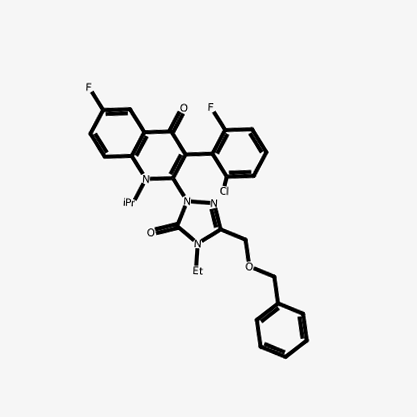 CCn1c(COCc2ccccc2)nn(-c2c(-c3c(F)cccc3Cl)c(=O)c3cc(F)ccc3n2C(C)C)c1=O